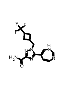 NC(=O)c1nc(C2=CNC=NC=C2)n(CC2CC(C(F)(F)F)C2)n1